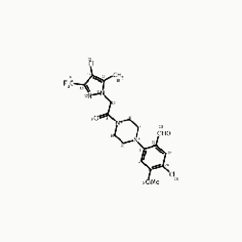 COc1cc(N2CCN(C(=O)Cn3nc(C(F)(F)F)c(Cl)c3C)CC2)c(C=O)cc1Cl